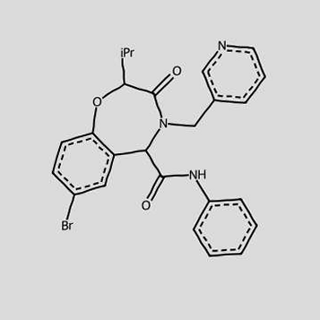 CC(C)C1Oc2ccc(Br)cc2C(C(=O)Nc2ccccc2)N(Cc2cccnc2)C1=O